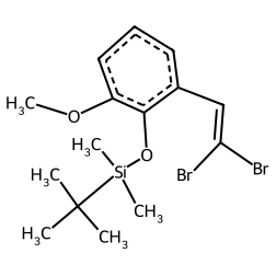 COc1cccc(C=C(Br)Br)c1O[Si](C)(C)C(C)(C)C